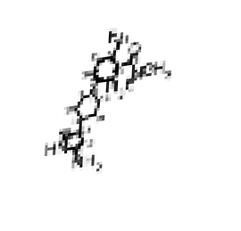 CN(C)C(=O)c1cc(N2CCC(c3cc(N)[nH]n3)CC2)ccc1CF